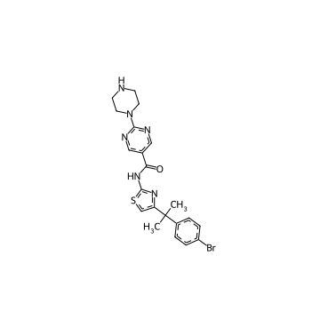 CC(C)(c1ccc(Br)cc1)c1csc(NC(=O)c2cnc(N3CCNCC3)nc2)n1